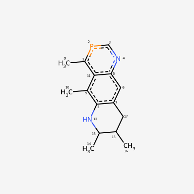 Cc1pcnc2cc3c(c(C)c12)NC(C)C(C)C3